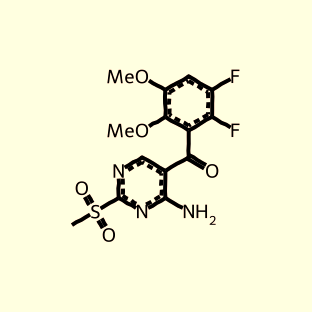 COc1cc(F)c(F)c(C(=O)c2cnc(S(C)(=O)=O)nc2N)c1OC